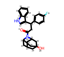 O=C(CC(c1ccc(F)cc1)c1c[nH]c2ccccc12)N1C2CC3CC1CC(O)(C3)C2